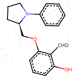 O=Cc1c(O)cccc1OC[C@H]1CCCN1c1ccccc1